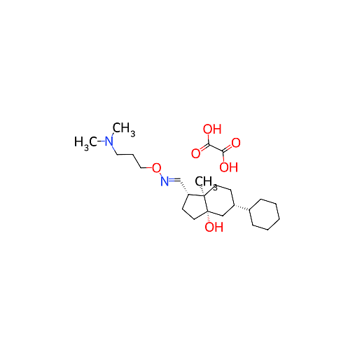 CN(C)CCCON=C[C@H]1CC[C@]2(O)C[C@@H](C3CCCCC3)CC[C@]12C.O=C(O)C(=O)O